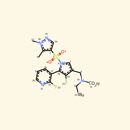 Cc1c(S(=O)(=O)n2cc(CN(CC(C)(C)C)C(=O)O)c(F)c2-c2cccnc2F)cnn1C